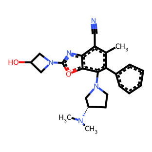 Cc1c(-c2ccccc2)c(N2CC[C@H](N(C)C)C2)c2oc(N3CC(O)C3)nc2c1C#N